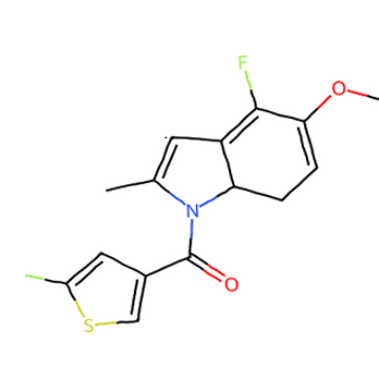 COC1=CCC2C(=C1F)[C]=C(C)N2C(=O)c1csc(F)c1